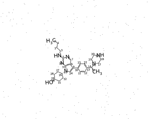 CCCCNc1ncc2c(-c3ccc([C@H](C)N4CCNCC4)cc3)cn([C@H]3CC[C@H](O)CC3)c2n1